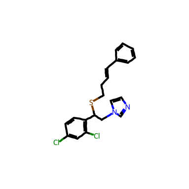 Clc1ccc(C(Cn2ccnc2)SCC/C=C/c2ccccc2)c(Cl)c1